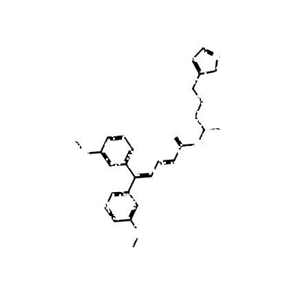 COc1cccc(C(=C/C=C/C(=O)N[C@H](C)CCCC2=CC=NC2)c2cccc(OC)c2)c1